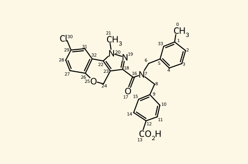 Cc1cccc(CN(Cc2ccc(C(=O)O)cc2)C(=O)c2nn(C)c3c2COc2ccc(Cl)cc2-3)c1